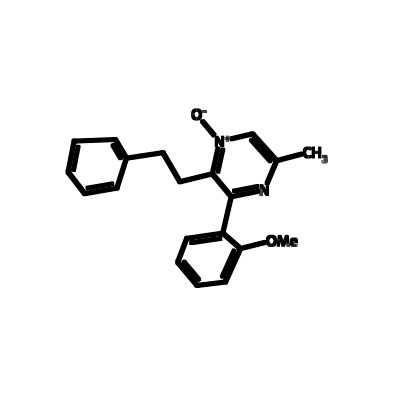 COc1ccccc1-c1nc(C)c[n+]([O-])c1CCc1ccccc1